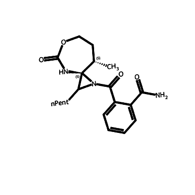 CCCCCC1N(C(=O)c2ccccc2C(N)=O)[C@]12NC(=O)OCC[C@@H]2C